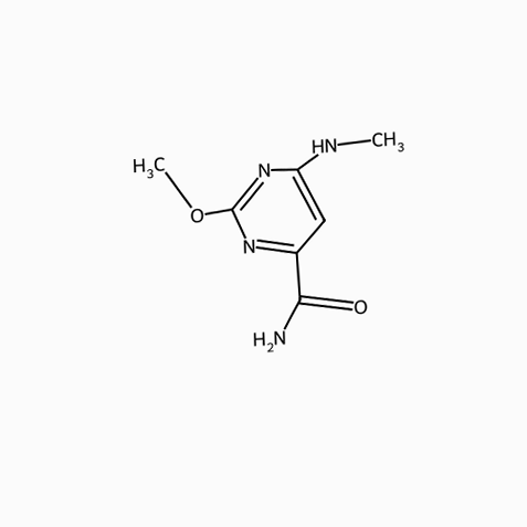 CNc1cc(C(N)=O)nc(OC)n1